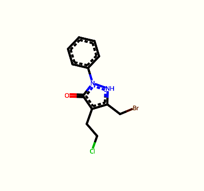 O=c1c(CCCl)c(CBr)[nH]n1-c1ccccc1